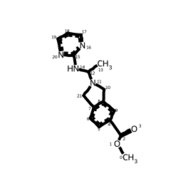 COC(=O)c1ccc2c(c1)CN(C(C)Nc1ncccn1)C2